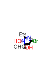 CCC1N=C(Br)C=CN1O.O=CO